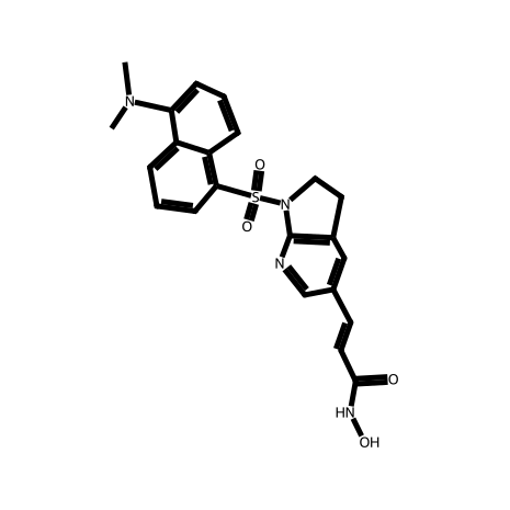 CN(C)c1cccc2c(S(=O)(=O)N3CCc4cc(C=CC(=O)NO)cnc43)cccc12